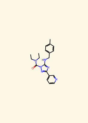 CCN(CC)C(=O)n1nc(-c2cccnc2)nc1NCc1ccc(C)cc1